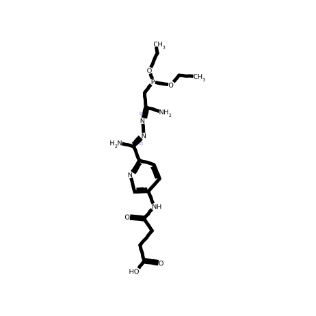 CCOP(C/C(N)=N/N=C(\N)c1ccc(NC(=O)CCC(=O)O)cn1)OCC